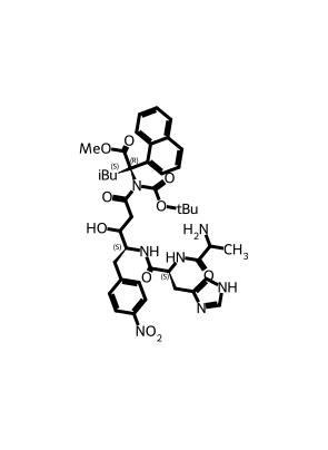 CC[C@H](C)[C@](C(=O)OC)(c1cccc2ccccc12)N(C(=O)CC(O)[C@H](Cc1ccc([N+](=O)[O-])cc1)NC(=O)[C@H](Cc1c[nH]cn1)NC(=O)C(C)N)C(=O)OC(C)(C)C